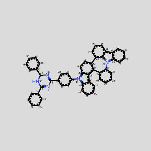 c1ccc(C2=NC(c3ccc(-n4c5ccccc5c5c6c(ccc54)-c4cccc5c7ccccc7n(c45)-c4ccccc4-6)cc3)=NC(c3ccccc3)N2)cc1